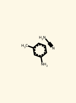 Cc1cccc(N)c1.N#CN